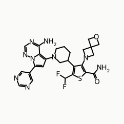 NC(=O)c1sc(C(F)F)c(C2CCCN(c3cc(-c4cncnc4)n4ncnc(N)c34)C2)c1N1CC2(COC2)C1